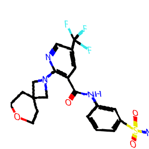 NS(=O)(=O)c1cccc(NC(=O)c2cc(C(F)(F)F)cnc2N2CC3(CCOCC3)C2)c1